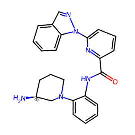 N[C@H]1CCCN(c2ccccc2NC(=O)c2cccc(-n3ncc4ccccc43)n2)C1